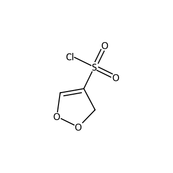 O=S(=O)(Cl)C1=COOC1